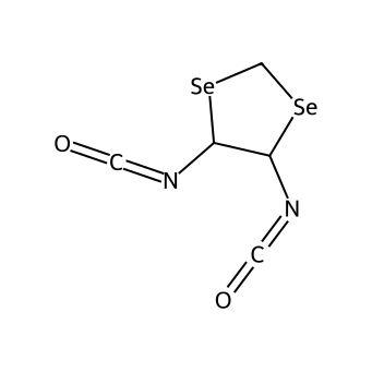 O=C=NC1[Se]C[Se]C1N=C=O